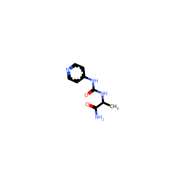 CC(NC(=O)Nc1ccncc1)C(N)=O